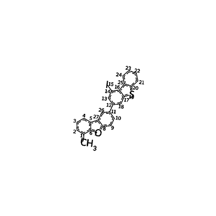 Cc1cccc2c1oc1ccc(-c3cc(I)c4c(c3)sc3ccccc34)cc12